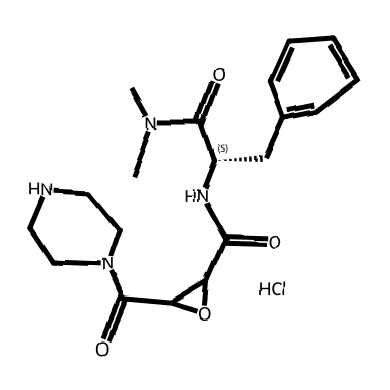 CN(C)C(=O)[C@H](Cc1ccccc1)NC(=O)C1OC1C(=O)N1CCNCC1.Cl